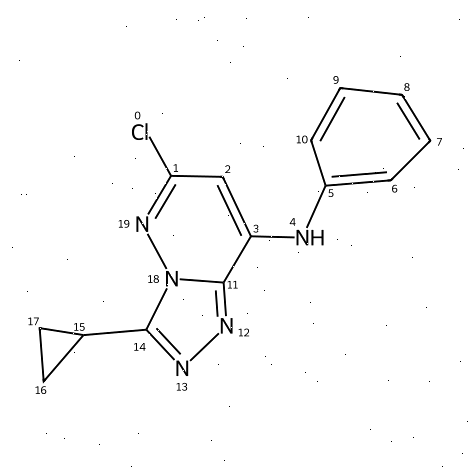 Clc1cc(Nc2ccccc2)c2nnc(C3CC3)n2n1